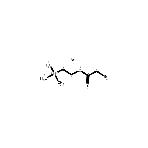 C[N+](C)(C)CCOC(=S)CBr.[Br-]